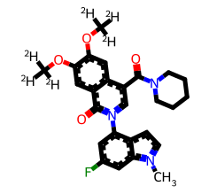 [2H]C([2H])([2H])Oc1cc2c(C(=O)N3CCCCC3)cn(-c3cc(F)cc4c3ccn4C)c(=O)c2cc1OC([2H])([2H])[2H]